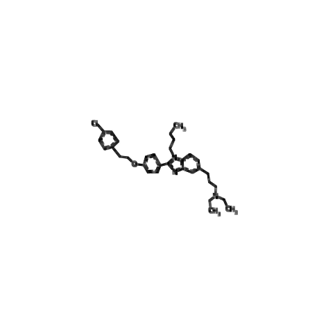 CCCCn1c(-c2ccc(OCCc3ccc(Cl)cc3)cc2)nc2cc(CCCN(CC)CC)ccc21